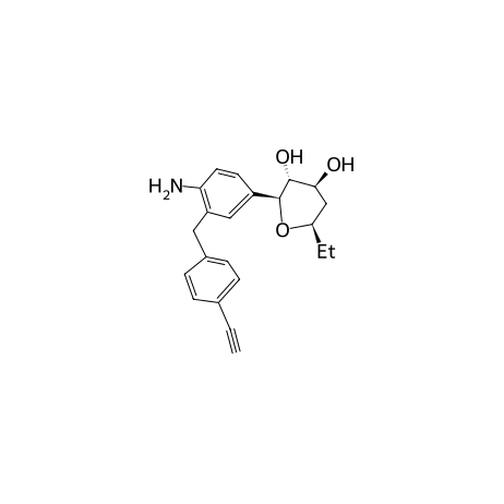 C#Cc1ccc(Cc2cc([C@@H]3O[C@H](CC)C[C@H](O)[C@H]3O)ccc2N)cc1